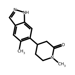 Cc1cc2cn[nH]c2cc1C1CCN(C)C(=O)C1